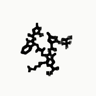 CCn1nc(C)cc1C(=O)/N=c1\n(C)c2ccccc2n1C/C(C)=C(\C)Cn1/c(=N/C(=O)c2cc(C)nn2CC)n(C)c2cc(C(N)=O)cc(OCCCN(C)C)c21.O=C(O)C(F)(F)F